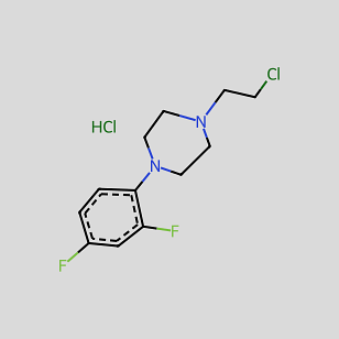 Cl.Fc1ccc(N2CCN(CCCl)CC2)c(F)c1